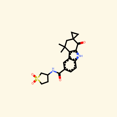 CC1(C)CC2(CC2)C(=O)c2[nH]c3ccc(C(=O)NC4CCS(=O)(=O)C4)cc3c21